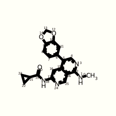 CNc1ncc(-c2ccc3c(c2)OCO3)c2cc(NC(=O)C3CC3)ncc12